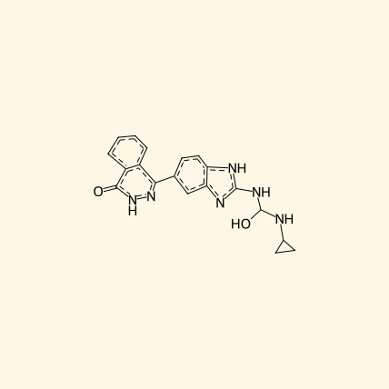 O=c1[nH]nc(-c2ccc3[nH]c(NC(O)NC4CC4)nc3c2)c2ccccc12